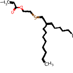 C=CC(=O)OCCSCC(CCCCCC)CCCCCCCC